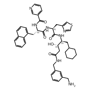 NCc1cccc(CNC(=O)C[C@H](O)[C@H](CC2CCCCC2)NC(=O)[C@H](Cc2cscn2)NC(=O)[C@H](Cc2cccc3ccccc23)NC(=O)c2cccnc2)c1